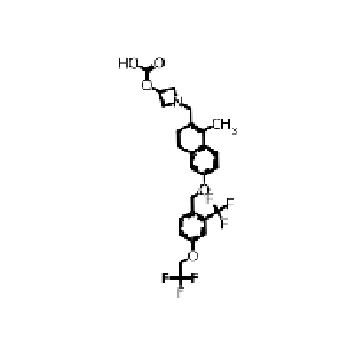 CC1=C(CN2CC(OC(=O)O)C2)CCc2cc(OCc3ccc(OCC(F)(F)F)cc3C(F)(F)F)ccc21